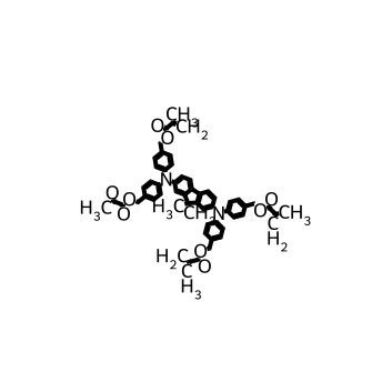 C=C(C)C(=O)OCc1ccc(N(c2ccc(COC(=O)C(=C)C)cc2)c2ccc3c(c2)C(C)(C)c2cc(N(c4ccc(COC(=O)C(=C)C)cc4)c4ccc(COC(=O)C(C)=O)cc4)ccc2-3)cc1